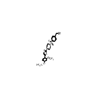 COc1ccc(-c2csc(N3CCN(S(=O)(=O)c4ccc(CBr)cc4)CC3)n2)c(OC)c1